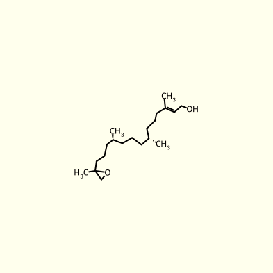 CC(=CCO)CCC[C@H](C)CCC[C@H](C)CCCC1(C)CO1